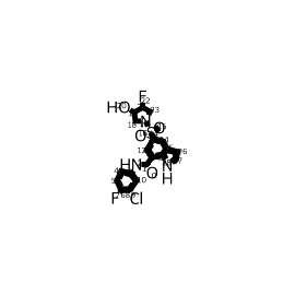 O=C(Nc1ccc(F)c(Cl)c1)c1cc(S(=O)(=O)N2CC(O)C(F)C2)cc2cc[nH]c12